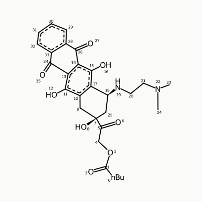 CCCCC(=O)OCC(=O)[C@]1(O)Cc2c(O)c3c(c(O)c2[C@@H](NCCN(C)C)C1)C(=O)c1ccccc1C3=O